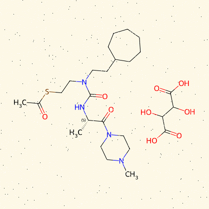 CC(=O)SCCN(CCC1CCCCCC1)C(=O)N[C@@H](C)C(=O)N1CCN(C)CC1.O=C(O)C(O)C(O)C(=O)O